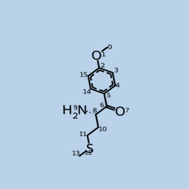 COc1ccc(C(=O)[C@@H](N)CCSC)cc1